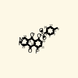 Cc1ccc(S(=O)(=O)Oc2ccc(F)c3c2C(=O)c2cnncc2C3=O)cc1